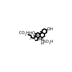 C[C@H](CCC(=O)O)[C@H]1CC[C@H]2C3[C@H](NS(=O)(=O)O)CC4C[C@H](O)CCC4(C)[C@H]3C[C@H](O)C12C